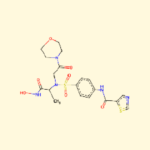 CC(C(=O)NO)N(CC(=O)N1CCOCC1)S(=O)(=O)c1ccc(NC(=O)c2cncs2)cc1